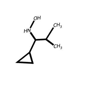 CC(C)C(NO)C1CC1